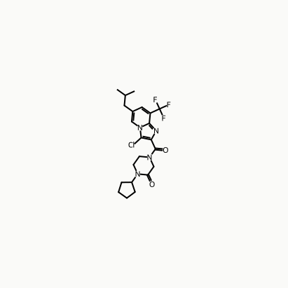 CC(C)Cc1cc(C(F)(F)F)c2nc(C(=O)N3CCN(C4CCCC4)C(=O)C3)c(Cl)n2c1